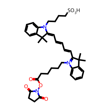 CC1(C)C(/C=C/C=C/C=C2/N(CCCCS(=O)(=O)O)c3ccccc3C2(C)C)=[N+](CCCCCC(=O)ON2C(=O)CCC2=O)c2ccccc21